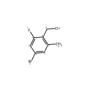 Cc1cc(Br)cc(F)c1CCl